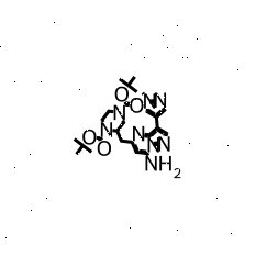 Cn1cc(-c2cnn3c(N)cc(CC4CN(C(=O)OC(C)(C)C)CCN4C(=O)OC(C)(C)C)nc23)cn1